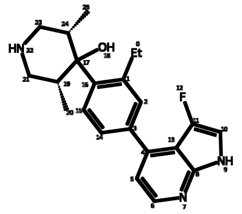 CCc1cc(-c2ccnc3[nH]cc(F)c23)ccc1C1(O)[C@H](C)CNC[C@@H]1C